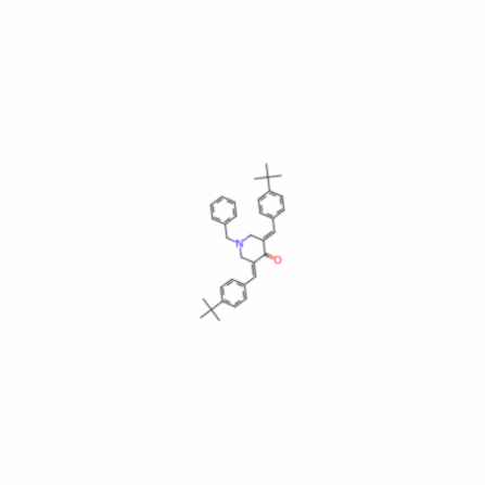 CC(C)(C)c1ccc(C=C2CN(Cc3ccccc3)CC(=Cc3ccc(C(C)(C)C)cc3)C2=O)cc1